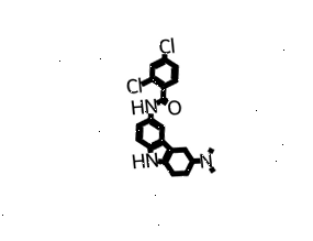 CN(C)C1CCc2[nH]c3ccc(NC(=O)c4ccc(Cl)cc4Cl)cc3c2C1